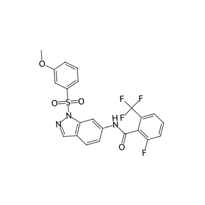 COc1cccc(S(=O)(=O)n2ncc3ccc(NC(=O)c4c(F)cccc4C(F)(F)F)cc32)c1